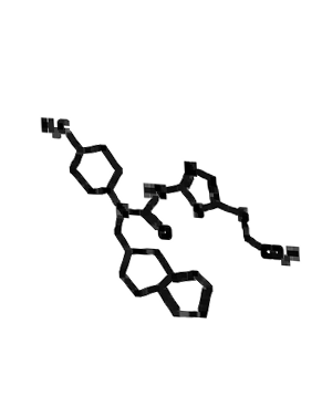 CC1CCC(N(CC2CCc3ccccc3C2)C(=O)Nc2ncc(SCC(=O)O)s2)CC1